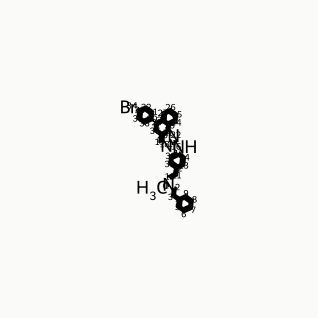 CN(CCc1ccccc1)CCc1ccc(Nc2ncc3c(n2)-c2ccccc2[C@H](c2ccc(Br)cc2)C3)cc1